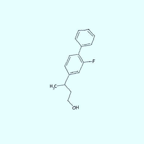 CC(CCO)c1ccc(-c2ccccc2)c(F)c1